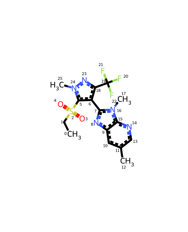 CCS(=O)(=O)c1c(-c2nc3cc(C)cnc3n2C)c(C(F)(F)F)nn1C